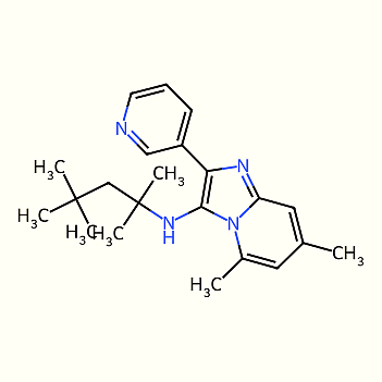 Cc1cc(C)n2c(NC(C)(C)CC(C)(C)C)c(-c3cccnc3)nc2c1